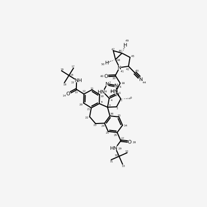 C[C@H](CC1(c2nnn[nH]2)c2ccc(C(=O)NC(C)(C)C)cc2CCc2cc(C(=O)NC(C)(C)C)ccc21)NCC(=O)N1C(C#N)C[C@@H]2C[C@@H]21